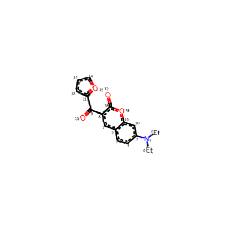 CCN(CC)c1ccc2cc(C(=O)c3ccco3)c(=O)oc2c1